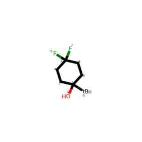 CC(C)(C)C1(O)CCC(F)(F)CC1